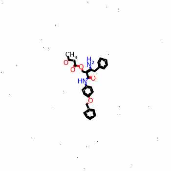 CC(=O)CC(=O)OC/C(C(=O)Nc1ccc(OCc2ccccc2)cc1)=C(\N)Cc1ccccc1